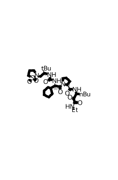 CCCCC(NC(=O)[C@@H]1CCCN1C(=O)[C@@H](NC(=O)N[C@H](CN1CCCS1(=O)=O)C(C)(C)C)C1CCCCC1)C(=O)C(=O)NCC